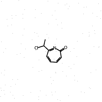 CC(Cl)c1ccccc(=O)n1